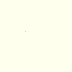 CN1CC2COC[C@@]2(C)C1